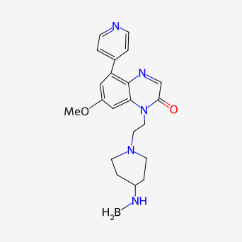 BNC1CCN(CCn2c(=O)cnc3c(-c4ccncc4)cc(OC)cc32)CC1